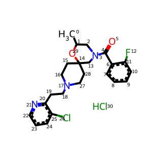 CC1CN(C(=O)c2ccccc2F)CC2(CCN(CCc3ncccc3Cl)CC2)O1.Cl